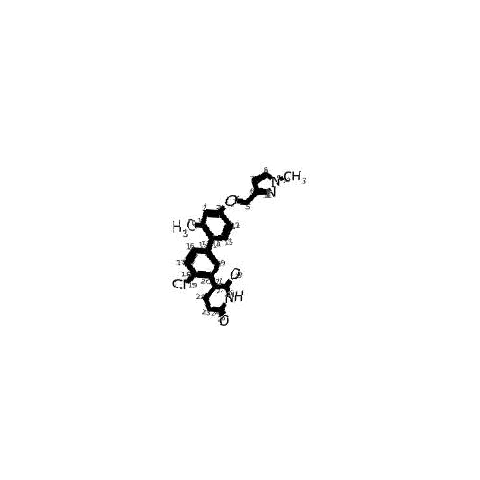 Cc1cc(OCc2ccn(C)n2)ccc1-c1ccc(Cl)c(C2CCC(=O)NC2=O)c1